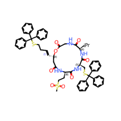 CC(C)[C@H]1NC(=O)[C@@H](CSC(c2ccccc2)(c2ccccc2)c2ccccc2)NC(=O)[C@@H](CCS(C)(=O)=O)NC(=O)C[C@H](/C=C/CCSC(c2ccccc2)(c2ccccc2)c2ccccc2)OC(=O)CNC1=O